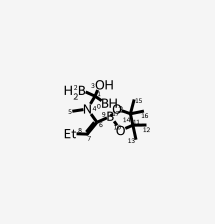 BC(B)(O)N(C)/C(=C\CC)B1OC(C)(C)C(C)(C)O1